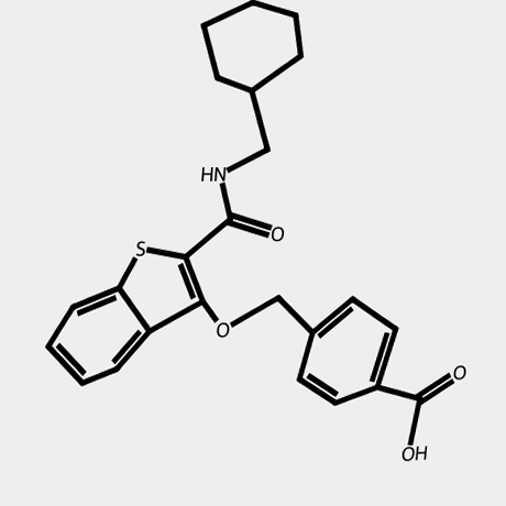 O=C(O)c1ccc(COc2c(C(=O)NCC3CCCCC3)sc3ccccc23)cc1